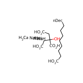 CCCCCCCCCCCCCCCCCC(=O)O.O=C(O)CC(O)(CC(=O)O)C(=O)O.[CaH2].[NaH].[NaH].[NaH]